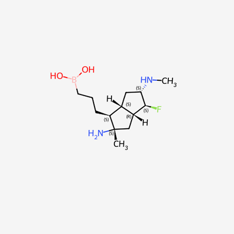 CN[C@H]1C[C@@H]2[C@@H](C[C@](C)(N)[C@H]2CCCB(O)O)[C@@H]1F